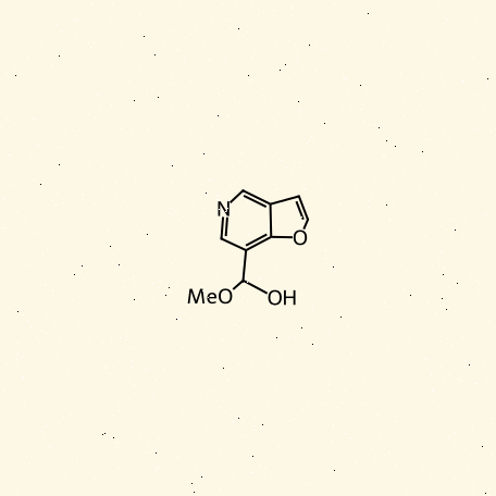 COC(O)c1cncc2ccoc12